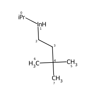 C[CH](C)[InH][CH2]CC(C)(C)C